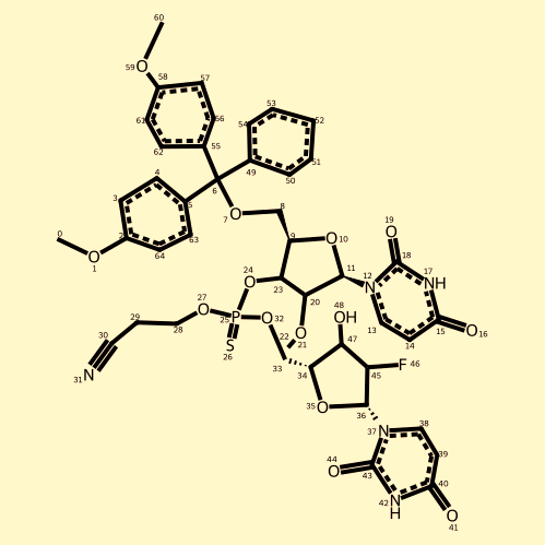 COc1ccc(C(OC[C@H]2O[C@@H](n3ccc(=O)[nH]c3=O)C(OC)C2OP(=S)(OCCC#N)OC[C@H]2O[C@@H](n3ccc(=O)[nH]c3=O)C(F)C2O)(c2ccccc2)c2ccc(OC)cc2)cc1